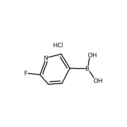 Cl.OB(O)c1ccc(F)nc1